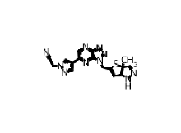 CC12C=NNC1C=C(Cn1nnc3ncc(-c4cnn(CC#N)c4)nc31)S2